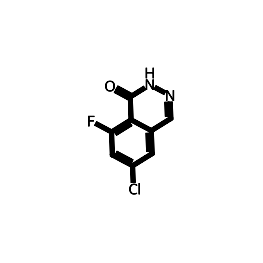 O=c1[nH]ncc2cc(Cl)cc(F)c12